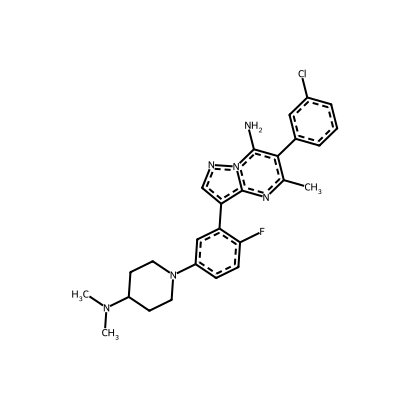 Cc1nc2c(-c3cc(N4CCC(N(C)C)CC4)ccc3F)cnn2c(N)c1-c1cccc(Cl)c1